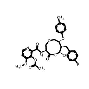 COc1ccnc(C(=O)N[C@H]2COC[C@H](Oc3ccc(C)cc3)[C@@H](Cc3ccc(F)cc3)[C@H](C)OC2=O)c1OC(C)=O